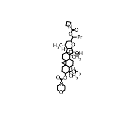 CC(C)C(OC(=O)N1CCC1)C1C[C@@H](C)[C@H]2C(O1)[C@H](O)[C@@]1(C)C3CC[C@H]4C(C)(C)C(OC(=O)N5CCOCC5)CCC45CC35CCC21C